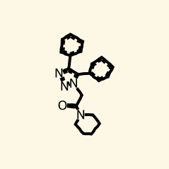 O=C(Cn1nnc(-c2ccccc2)c1-c1ccccc1)N1CCCCC1